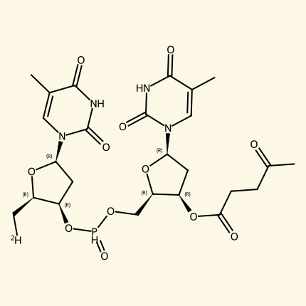 [2H]C[C@H]1O[C@@H](n2cc(C)c(=O)[nH]c2=O)C[C@H]1O[PH](=O)OC[C@H]1O[C@@H](n2cc(C)c(=O)[nH]c2=O)C[C@H]1OC(=O)CCC(C)=O